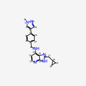 Cn1cc(-c2ccc(CNc3ccnc4[nH]c(CC5CC5)nc34)cc2)cn1